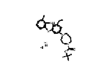 CCc1cc(N2CCCN(C(=O)OC(C)(C)C)CC2)cc2c1Nc1c(C)cccc1S2.I.I.I